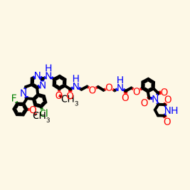 COc1cc(Nc2ncc3c(n2)-c2ccc(Cl)cc2C(c2c(F)cccc2OC)=NC3)ccc1C(=O)NCCOCCOCNC(=O)COc1cccc2c1C(=O)N(C1CCC(=O)NC1=O)C2=O